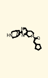 O=C(CC1CCCC1)N1CCc2cnc(N3C4CCC3CNC4)nc2C1